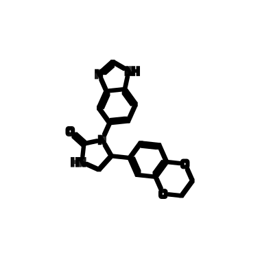 O=C1NCC(c2ccc3c(c2)OCCO3)N1c1ccc2[nH]cnc2c1